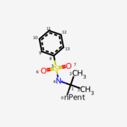 CCCCCC(C)(C)[N]S(=O)(=O)c1ccccc1